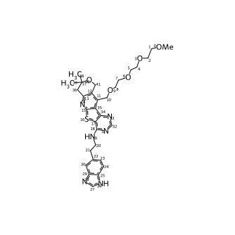 COCCOCCOCCOCc1c2c(nc3sc4c(NCCc5ccc6[nH]cnc6c5)ncnc4c13)CC(C)(C)OC2